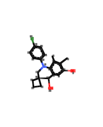 Cc1c(O)cc2c(c1C)N(c1ccc(Cl)cc1)CC1(CCC1)C2O